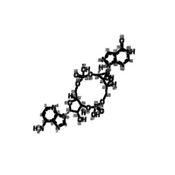 Nc1ccnc2c1ncn2[C@@H]1O[C@@H]2COP(=O)(O)O[C@@H]3[C@H](O)[C@@H](COP(=O)(O)O[C@H]2[C@H]1O)O[C@H]3n1ncc2c(=O)[nH]cnc21